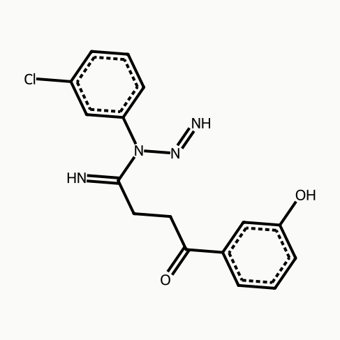 N=NN(C(=N)CCC(=O)c1cccc(O)c1)c1cccc(Cl)c1